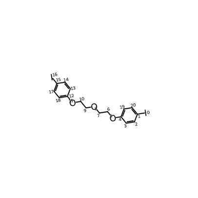 Ic1ccc(OCCOCCOc2ccc(I)cc2)cc1